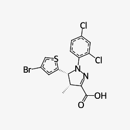 C[C@H]1C(C(=O)O)=NN(c2ccc(Cl)cc2Cl)[C@H]1c1cc(Br)cs1